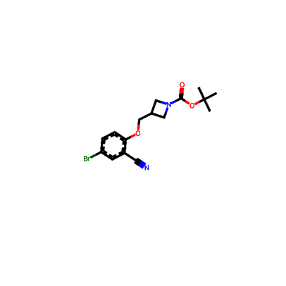 CC(C)(C)OC(=O)N1CC(COc2ccc(Br)cc2C#N)C1